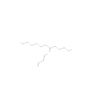 CCCCCC(CCCCCCO)OCCCC